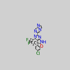 CC1(c2ccc(Cl)cc2)C(=O)Nc2nc(-c3cn4ccnc4cn3)nc(C3CC(F)(F)C3)c21